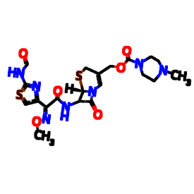 CON=C(C(=O)NC1C(=O)N2C=C(COC(=O)N3CCN(C)CC3)CS[C@@H]12)c1csc(NC=O)n1